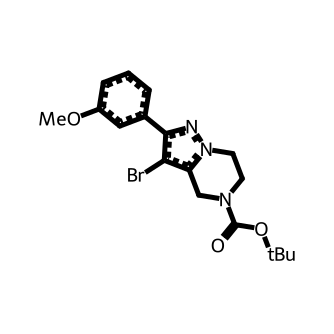 COc1cccc(-c2nn3c(c2Br)CN(C(=O)OC(C)(C)C)CC3)c1